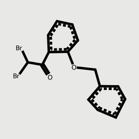 O=C(c1ccccc1OCc1ccccc1)C(Br)Br